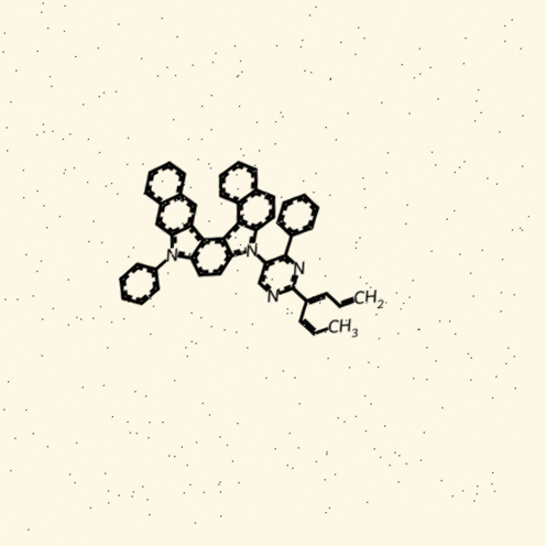 C=C/C=C(\C=C/C)c1ncc(-n2c3ccc4ccccc4c3c3c4c5cc6ccccc6cc5n(-c5ccccc5)c4ccc32)c(-c2ccccc2)n1